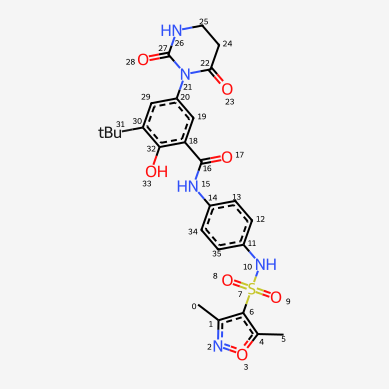 Cc1noc(C)c1S(=O)(=O)Nc1ccc(NC(=O)c2cc(N3C(=O)CCNC3=O)cc(C(C)(C)C)c2O)cc1